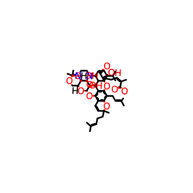 COC(=O)/C(C)=C\CC1(O)C(=O)C2CC(C(C)C)C13Oc1c(CC=C(C)C)c4c(c(O[C@@H]5O[C@@H]6COC(C)(C)O[C@H]6[C@H](O)[C@H]5O)c1C(=O)C3C2N1CCN(C)CC1)C=CC(C)(CCC=C(C)C)O4